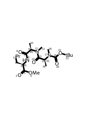 COC(=O)[C@@H](CC(C)C)NC(=O)[C@@H](C)N(C)C(=O)[C@H](C)N(C)C(=O)OC(C)(C)C